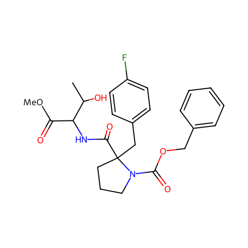 COC(=O)C(NC(=O)C1(Cc2ccc(F)cc2)CCCN1C(=O)OCc1ccccc1)C(C)O